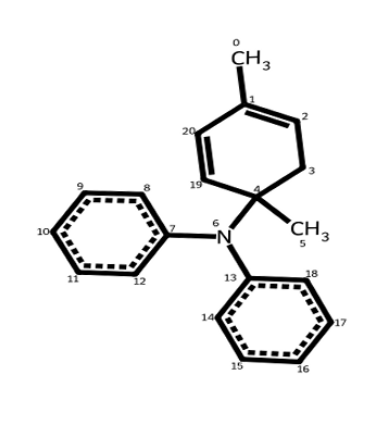 CC1=CCC(C)(N(c2ccccc2)c2ccccc2)C=C1